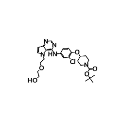 CC(C)(C)OC(=O)N1CCC(Oc2ccc(Nc3ncnc4ccn(CCOCCO)c34)cc2Cl)CC1